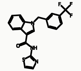 O=C(Nc1nccs1)c1cn(Cc2cccc(C(F)(F)F)c2)c2ccccc12